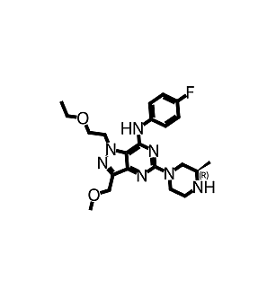 CCOCCn1nc(COC)c2nc(N3CCN[C@H](C)C3)nc(Nc3ccc(F)cc3)c21